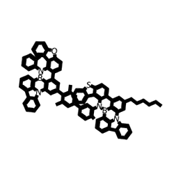 CCCCCCc1cc2c3c(c1)-n1c4ccccc4c4cccc(c41)B3N(c1cc(-c3cc(C)c(-c4cc5c6c(c4)-n4c7ccccc7c7cccc(c74)B6N(c4ccccc4C)c4c-5ccc5oc6ccccc6c45)c(C)c3)ccc1C)c1c-2ccc2sc3ccccc3c12